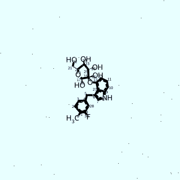 Cc1ccc(Cc2c[nH]c3cccc(O[C@]4(O)[C@@H](O)O[C@H](CO)[C@@H](O)[C@@H]4O)c23)cc1F